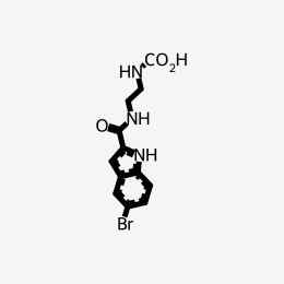 O=C(O)NCCNC(=O)c1cc2cc(Br)ccc2[nH]1